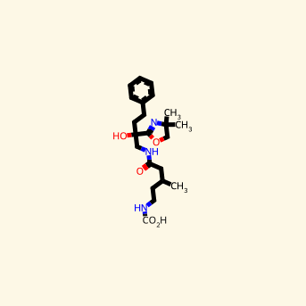 CC(CCNC(=O)O)CC(=O)NCC(O)(CCc1ccccc1)C1=NC(C)(C)CO1